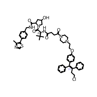 Cc1ncsc1-c1ccc(CNC(=O)C2CC(O)CN2C(=O)[C@@H](NC(=O)CCC(=O)N2CCN(CCOc3ccc(/C(=C(/CCCl)c4ccccc4)c4ccccc4)cc3)CC2)C(C)(C)C)cc1